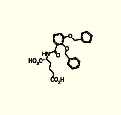 O=C(O)CCC[C@@H](NC(=O)c1cccc(OCc2ccccc2)c1OCc1ccccc1)C(=O)O